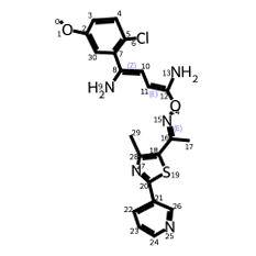 COc1ccc(Cl)c(/C(N)=C/C=C(\N)O/N=C(\C)c2sc(-c3cccnc3)nc2C)c1